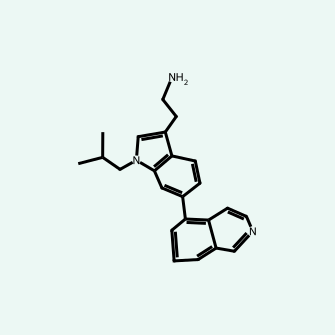 CC(C)Cn1cc(CCN)c2ccc(-c3cccc4cnccc34)cc21